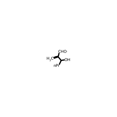 C=C([C]=O)C(O)CCC